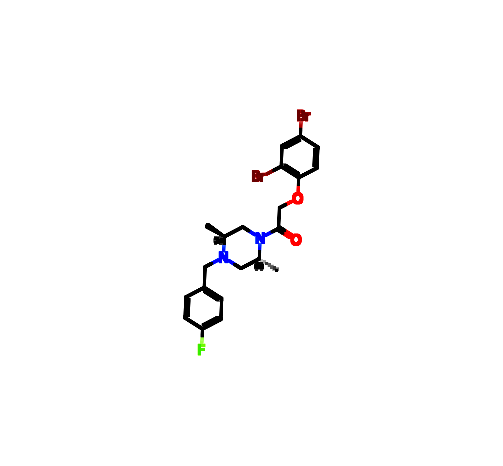 C[C@@H]1CN(Cc2ccc(F)cc2)[C@@H](C)CN1C(=O)COc1ccc(Br)cc1Br